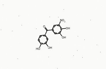 O=C(c1ccc(O)c(O)c1)c1cc(O)c(O)c([N+](=O)[O-])c1